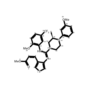 COC(=O)/C=C\c1cscc1/N=C(\Nc1cc(C(F)(F)F)ccc1OC)N1CCN(c2cccc(OC)c2)[C@H](C)C1